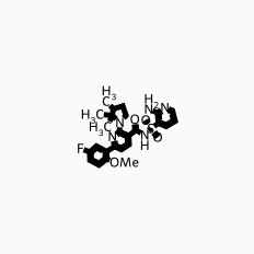 COc1ccc(F)cc1-c1ccc(C(=O)NS(=O)(=O)c2cccnc2N)c(N2CCC(C)C2(C)C)n1